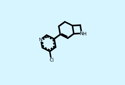 Clc1cncc(C2=CC3NCC3CC2)c1